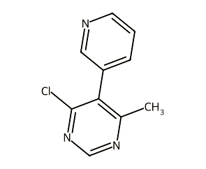 Cc1ncnc(Cl)c1-c1cccnc1